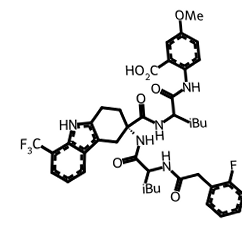 CCC(C)C(NC(=O)Cc1ccccc1F)C(=O)N[C@@]1(C(=O)NC(C(=O)Nc2ccc(OC)cc2C(=O)O)C(C)CC)CCc2[nH]c3c(C(F)(F)F)cccc3c2C1